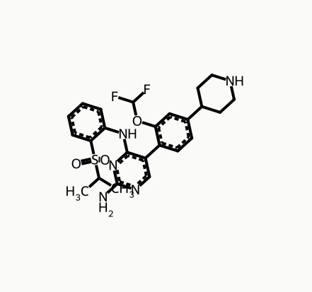 CC(C)S(=O)(=O)c1ccccc1Nc1nc(N)ncc1-c1ccc(C2CCNCC2)cc1OC(F)F